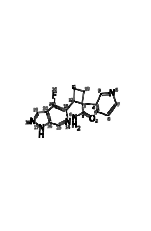 NC(=O)C1(c2cccnc2)CCC1c1ncc2[nH]ncc2c1F